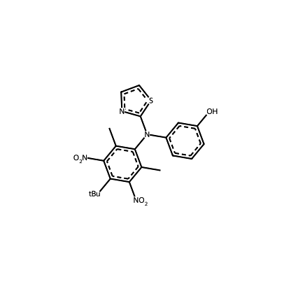 Cc1c(N(c2cccc(O)c2)c2nccs2)c(C)c([N+](=O)[O-])c(C(C)(C)C)c1[N+](=O)[O-]